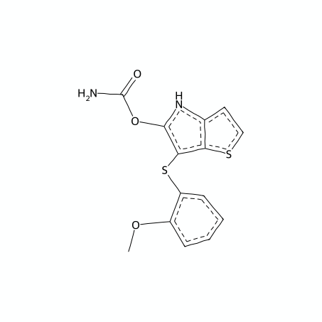 COc1ccccc1Sc1c(OC(N)=O)[nH]c2ccsc12